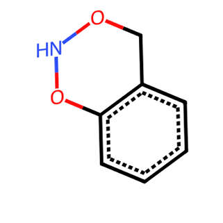 c1ccc2c(c1)CONO2